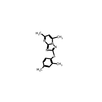 Cc1ccc(Sc2nc3nc(C)cc(C)n3n2)c(C)c1